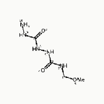 COCNC(=O)NNC(=O)NN